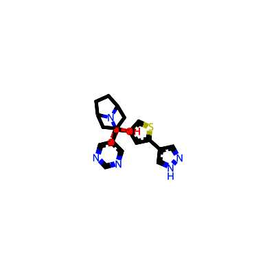 O=C(c1csc(-c2cn[nH]c2)c1)N1C2CCC1CC(O)(c1cncnc1)C2